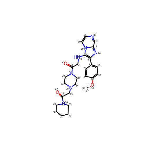 O=C(CNc1c(-c2ccc(OC(F)(F)F)cc2)nc2cnccn12)N1CCN(CC(=O)N2CCCCC2)CC1